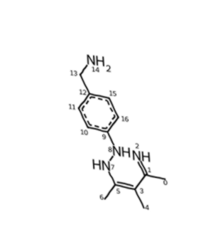 CC(=N)C(C)=C(C)NNc1ccc(CN)cc1